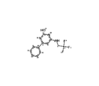 Cl.FC(F)(F)CNc1cc(-c2ccccc2)ncn1